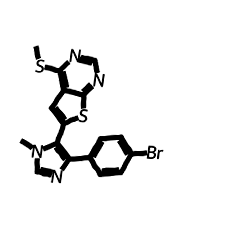 CSc1ncnc2sc(-c3c(-c4ccc(Br)cc4)ncn3C)cc12